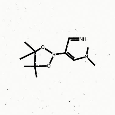 CN(C)/C=C(\C=N)B1OC(C)(C)C(C)(C)O1